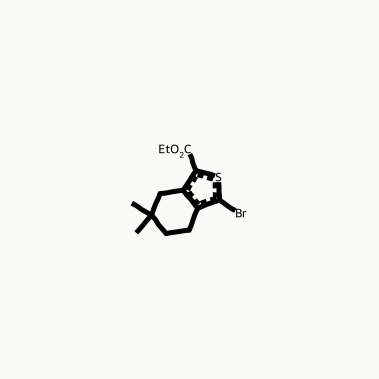 CCOC(=O)c1sc(Br)c2c1CC(C)(C)CC2